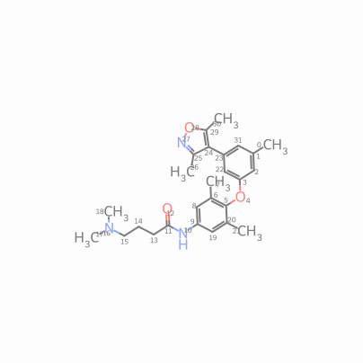 Cc1cc(Oc2c(C)cc(NC(=O)CCCN(C)C)cc2C)cc(-c2c(C)noc2C)c1